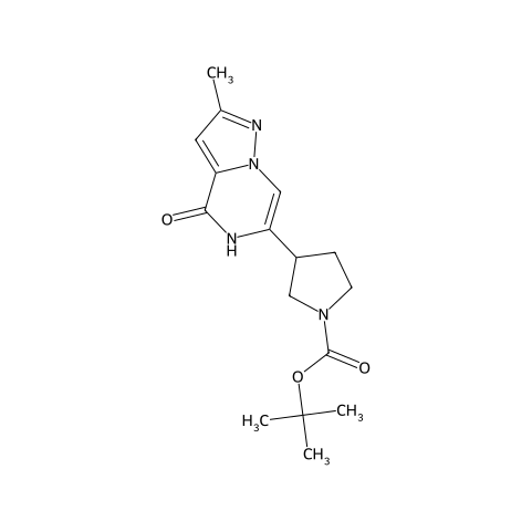 Cc1cc2c(=O)[nH]c(C3CCN(C(=O)OC(C)(C)C)C3)cn2n1